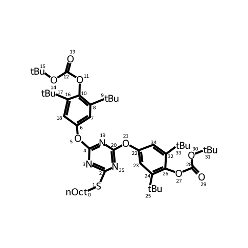 CCCCCCCCSc1nc(Oc2cc(C(C)(C)C)c(OC(=O)OC(C)(C)C)c(C(C)(C)C)c2)nc(Oc2cc(C(C)(C)C)c(OC(=O)OC(C)(C)C)c(C(C)(C)C)c2)n1